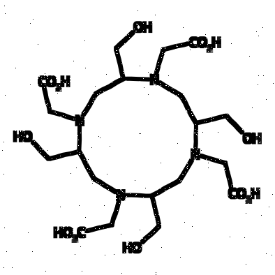 O=C(O)CN1CC(CO)N(CC(=O)O)CC(CO)N(CC(=O)O)CC(CO)N(CC(=O)O)CC1CO